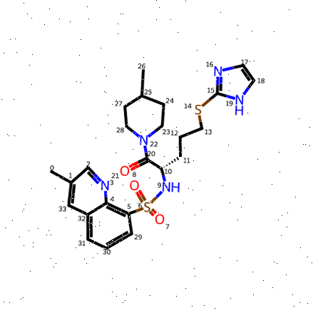 Cc1cnc2c(S(=O)(=O)N[C@@H](CCCSc3ncc[nH]3)C(=O)N3CCC(C)CC3)cccc2c1